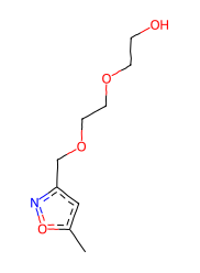 Cc1cc(COCCOCCO)no1